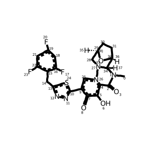 CN1C(=O)c2c(O)c(=O)c(-c3nnc(Cc4c(F)cc(F)cc4F)s3)cn2N2C[C@H]3CC[C@H](O3)[C@H]12